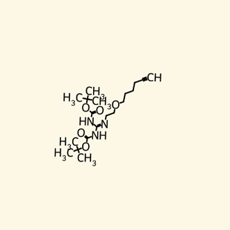 C#CCCCCOCCN=C(NC(=O)OC(C)(C)C)NC(=O)OC(C)(C)C